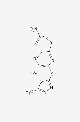 Cc1nnc(Sc2nc3ccc([N+](=O)[O-])cc3nc2C(F)(F)F)s1